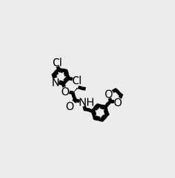 CC[C@@H](Oc1ncc(Cl)cc1Cl)C(=O)NCc1cccc(C2OCCO2)c1